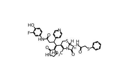 O=C(CC(C(=C1CCNC1=O)C1=C(C(=O)O)N2C(=O)[C@@H](NC(=O)CSc3ccccc3)[C@H]2SC1)c1ccncc1)Nc1ccc(O)c(F)c1